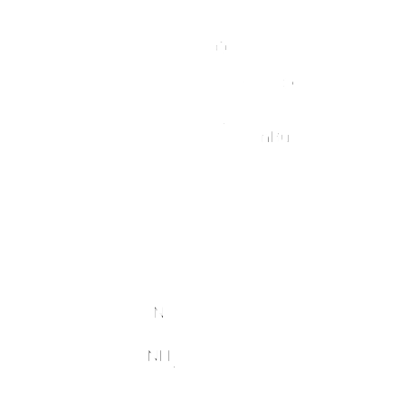 C=CC1CCOC(=O)C1(CCCC)c1ccc(C=NN)cc1